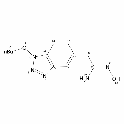 CCCCOn1nnc2cc(C/C(N)=N/O)ccc21